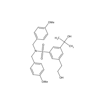 COc1ccc(CN(Cc2ccc(OC)cc2)S(=O)(=O)c2cc(CCO)cc(C(C)(C)O)c2)cc1